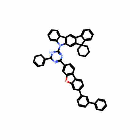 C1=CCCC(C2N=C(c3ccc4c(c3)oc3cc(-c5cccc(-c6ccccc6)c5)ccc34)N=C(n3c4ccccc4c4cc5c(cc43)C3(CCCCC3)c3ccccc3-5)N2)=C1